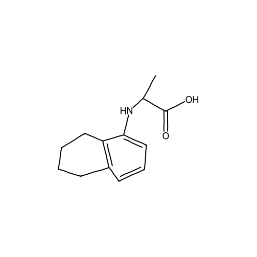 CC(Nc1cccc2c1CCCC2)C(=O)O